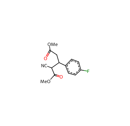 COC(=O)CC(c1ccc(F)cc1)C(C#N)C(=O)OC